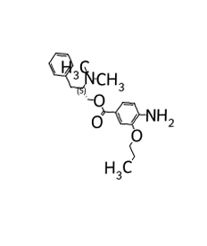 CCCOc1cc(C(=O)OC[C@H](Cc2ccccc2)N(C)C)ccc1N